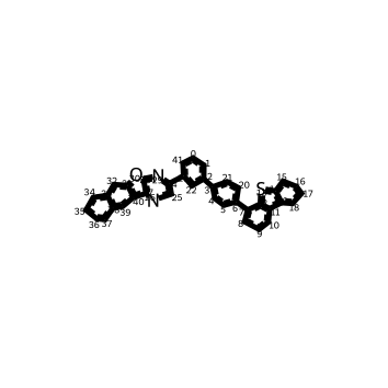 c1cc(-c2ccc(-c3cccc4c3sc3ccccc34)cc2)cc(-c2cnc3c(n2)oc2cc4ccccc4cc23)c1